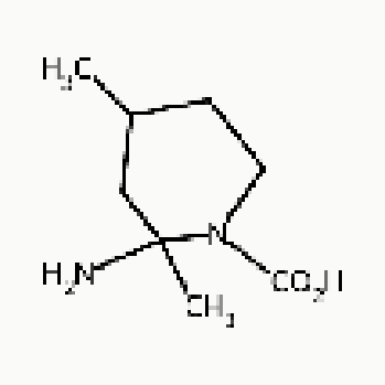 CC1CCN(C(=O)O)C(C)(N)C1